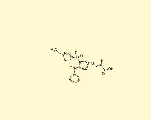 CCCCC1CN(c2ccccc2)c2ccc(O/C=C(\F)C(=O)O)cc2S(=O)(=O)N1C